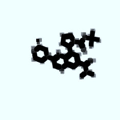 C[C@@H]1CN(c2cnc3cc(C(=O)N(C)C)cc(C4CC=CN4C(=O)OC(C)(C)C)c3n2)CCO1